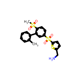 Cc1ccccc1-c1cc(S(=O)(=O)c2ccc(CN)s2)ccc1S(C)(=O)=O